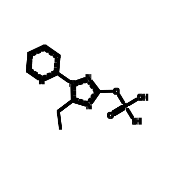 CCc1nc(OP(=O)(O)S)nn1-c1ccccn1